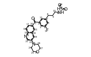 O=C(c1cc(F)cc(CCCN[SH](=O)=O)c1)c1ccc2ncc(N3CCOCC3)cc2c1